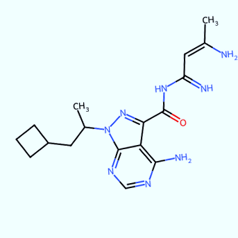 C/C(N)=C/C(=N)NC(=O)c1nn(C(C)CC2CCC2)c2ncnc(N)c12